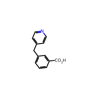 O=C(O)c1cccc(Cc2ccncc2)c1